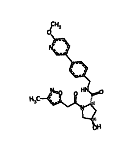 COc1ccc(-c2ccc(CNC(=O)[C@@H]3C[C@@H](O)CN3C(=O)Cc3cc(C)no3)cc2)cn1